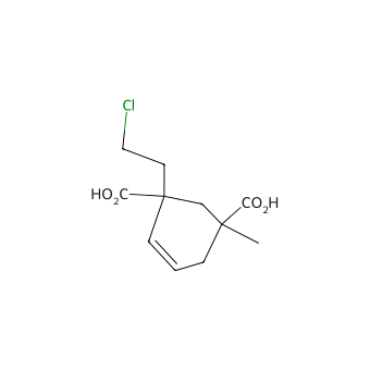 CC1(C(=O)O)CC=CC(CCCl)(C(=O)O)C1